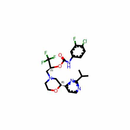 CC(C)c1nccc([C@H]2CN(C[C@H](OC(=O)Nc3ccc(Cl)c(F)c3)C(F)(F)F)CCO2)n1